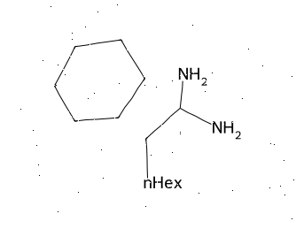 C1CCCCC1.CCCCCCCC(N)N